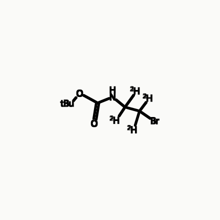 [2H]C([2H])(Br)C([2H])([2H])NC(=O)OC(C)(C)C